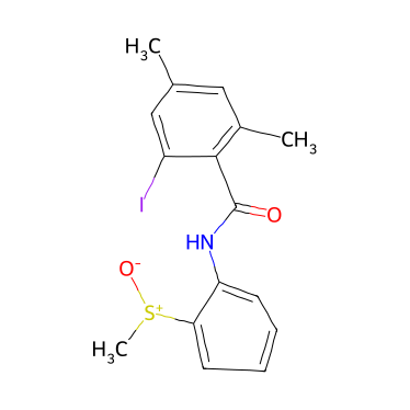 Cc1cc(C)c(C(=O)Nc2ccccc2[S+](C)[O-])c(I)c1